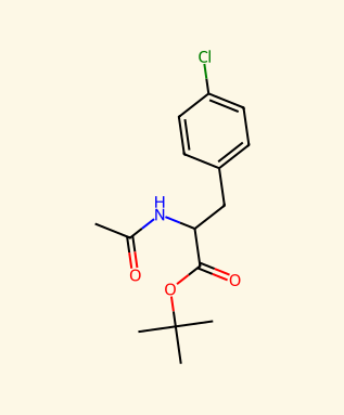 CC(=O)NC(Cc1ccc(Cl)cc1)C(=O)OC(C)(C)C